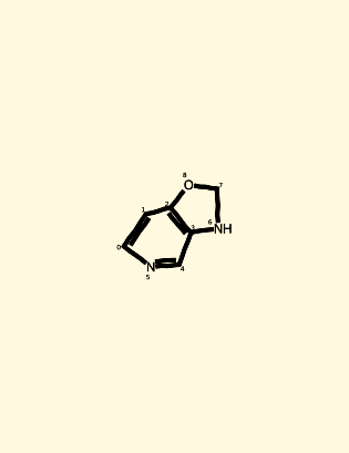 c1cc2c(cn1)NCO2